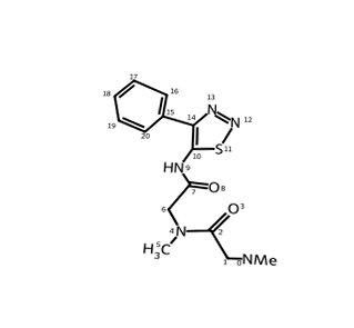 CNCC(=O)N(C)CC(=O)Nc1snnc1-c1ccccc1